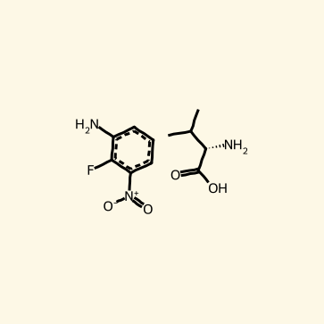 CC(C)[C@H](N)C(=O)O.Nc1cccc([N+](=O)[O-])c1F